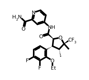 CCOc1c([C@@H]2[C@@H](C(=O)Nc3ccnc(C(N)=O)c3)O[C@@](C)(C(F)(F)F)[C@@H]2C)ccc(F)c1F